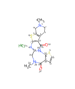 CN1CCc2c(sc3nc4n(c(=O)c23)-c2sccc2C(=O)N(C)C4)C1.Cl